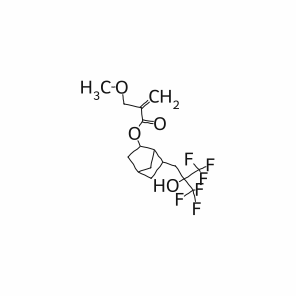 C=C(COC)C(=O)OC1CC2CC(CC(O)(C(F)(F)F)C(F)(F)F)C1C2